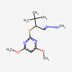 CN/N=C/C(Sc1nc(OC)cc(OC)n1)C(C)(C)C